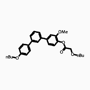 CCCCOCC(=O)Oc1ccc(-c2cccc(-c3ccc(OCCCC)cc3)c2)cc1OC